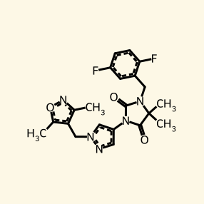 Cc1noc(C)c1Cn1cc(N2C(=O)N(Cc3cc(F)ccc3F)C(C)(C)C2=O)cn1